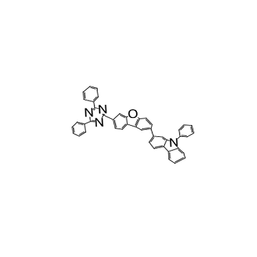 c1ccc(-c2nc(-c3ccccc3)nc(-c3ccc4c(c3)oc3ccc(-c5ccc6c7ccccc7n(-c7ccccc7)c6c5)cc34)n2)cc1